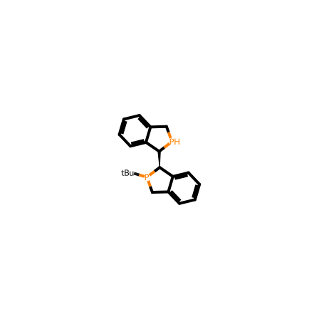 CC(C)(C)P1Cc2ccccc2[C@@H]1C1PCc2ccccc21